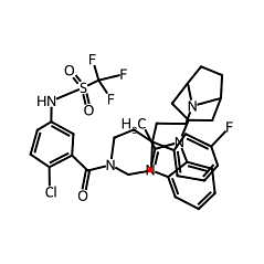 Cc1nc2ccccc2n1C1CC2CCC(C1)N2CCC1(c2cccc(F)c2)CCN(C(=O)c2cc(NS(=O)(=O)C(F)(F)F)ccc2Cl)CC1